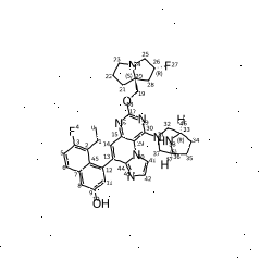 CCc1c(F)ccc2cc(O)cc(-c3cc4nc(OC[C@@]56CCCN5C[C@H](F)C6)nc(N5C[C@H]6CC[C@@H](C5)N6)c4n4ccnc34)c12